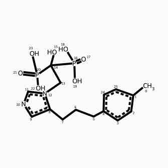 Cc1ccc(CCCc2cncn2CC(O)(P(=O)(O)O)P(=O)(O)O)cc1